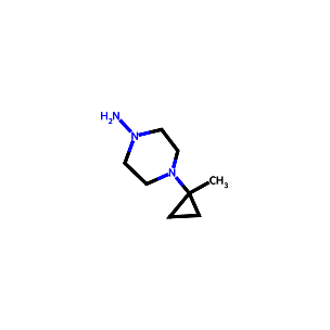 CC1(N2CCN(N)CC2)CC1